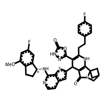 COc1cc(F)cc2c1CC[C@H]2Nc1nccc2cc(C3C4=C(NC(CCc5ccc(F)cc5)=C3c3n[nH]c(=O)o3)C35CC(CN3C4=O)C5)sc12